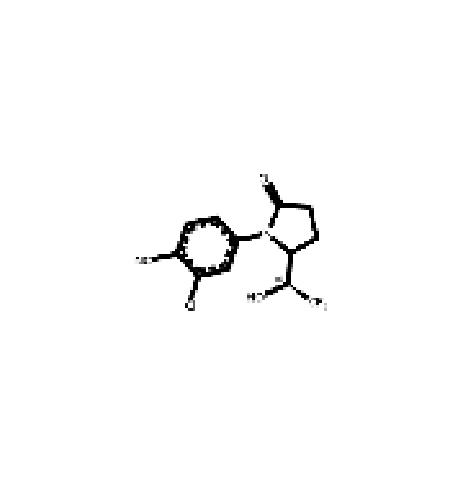 N#Cc1ccc(N2C(=O)CCC2[C@H](O)C(F)(F)F)cc1Cl